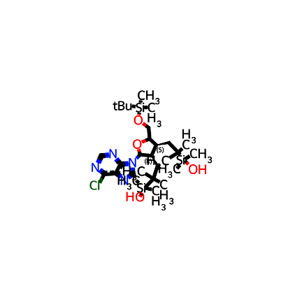 CC(C)(C[C@@H]1C(CO[Si](C)(C)C(C)(C)C)OC(n2cnc3c(Cl)ncnc32)[C@@H]1CC(C)(C)[Si](C)(C)O)[Si](C)(C)O